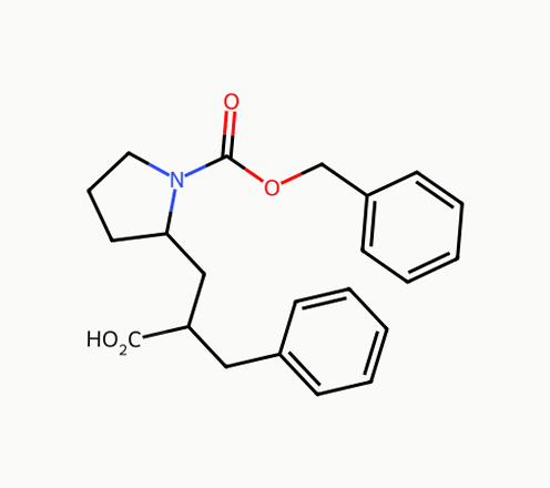 O=C(O)C(Cc1ccccc1)CC1CCCN1C(=O)OCc1ccccc1